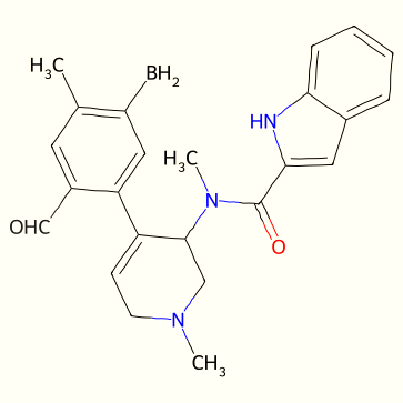 Bc1cc(C2=CCN(C)CC2N(C)C(=O)c2cc3ccccc3[nH]2)c(C=O)cc1C